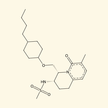 CCCCC1CCC(OC[C@H]2[C@@H](NS(C)(=O)=O)CCc3ccc(C)c(=O)n32)CC1